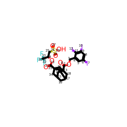 O=C(OCc1cc(I)cc(I)c1I)C12CC3CC(C1)CC(C(=O)OC(CS(=O)(=O)O)C(F)(F)F)(C3)C2